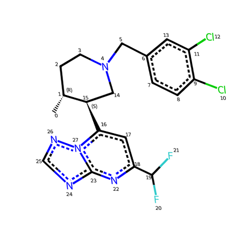 C[C@@H]1CCN(Cc2ccc(Cl)c(Cl)c2)C[C@H]1c1cc(C(F)F)nc2ncnn12